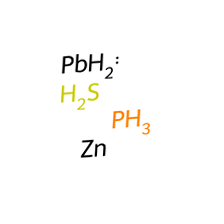 P.S.[PbH2].[Zn]